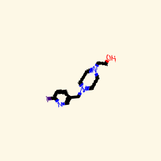 OCCN1CCN(Cc2ccc(I)nc2)CC1